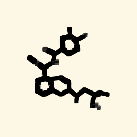 C=C=C(NC(=O)c1ccc(F)c(C)c1)c1cccc2c1C=CC(C(C)CC(N)=CC)C2